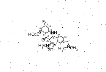 CN(C)Cc1ccc(C2Nc3cc(F)cc(C(=O)O)c3C(=O)C2c2ncnn2C)cc1